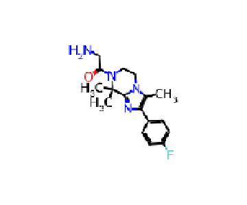 Cc1c(-c2ccc(F)cc2)nc2n1CCN(C(=O)CN)C2(C)C